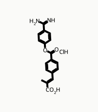 CC(=Cc1ccc(C(=O)Oc2ccc(C(=N)N)cc2)cc1)C(=O)O.Cl